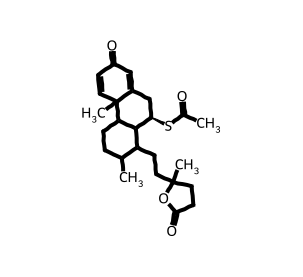 CC(=O)S[C@@H]1CC2=CC(=O)C=CC2(C)C2CCC(C)C(CCC3(C)CCC(=O)O3)C21